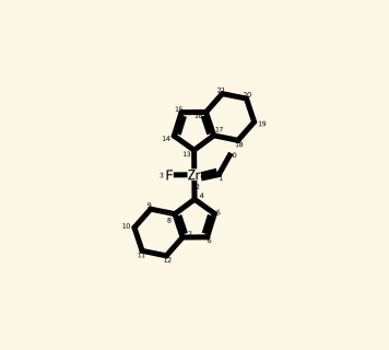 C[CH]=[Zr]([F])([CH]1C=CC2=C1CCCC2)[CH]1C=CC2=C1CCCC2